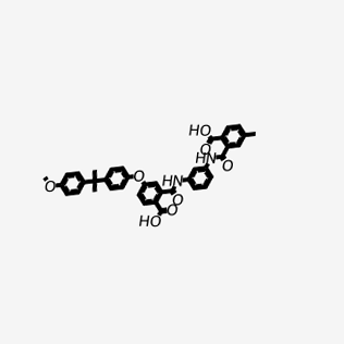 COc1ccc(C(C)(C)c2ccc(Oc3ccc(C(=O)O)c(C(=O)Nc4cccc(NC(=O)c5cc(C)ccc5C(=O)O)c4)c3)cc2)cc1